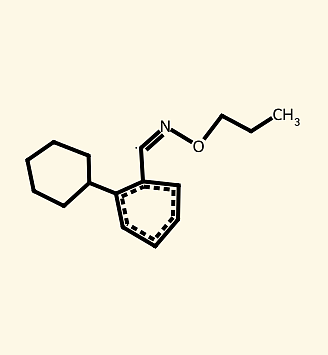 CCCO/N=[C]\c1ccccc1C1CCCCC1